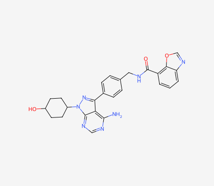 Nc1ncnc2c1c(-c1ccc(CNC(=O)c3cccc4ncoc34)cc1)nn2C1CCC(O)CC1